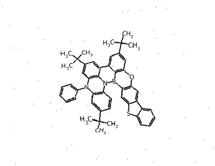 CC(C)(C)c1cc2c3c(c1)-c1cc(C(C)(C)C)cc4c1N(B3c1cc3sc5ccccc5c3cc1O2)c1ccc(C(C)(C)C)cc1N4c1ccccc1